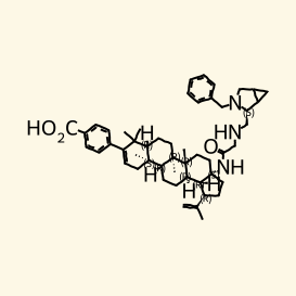 C=C(C)[C@@H]1CC[C@]2(NC(=O)CNC[C@@H]3C4CC4CN3Cc3ccccc3)CC[C@]3(C)[C@H](CC[C@@H]4[C@@]5(C)CC=C(c6ccc(C(=O)O)cc6)C(C)(C)[C@@H]5CC[C@]43C)[C@@H]12